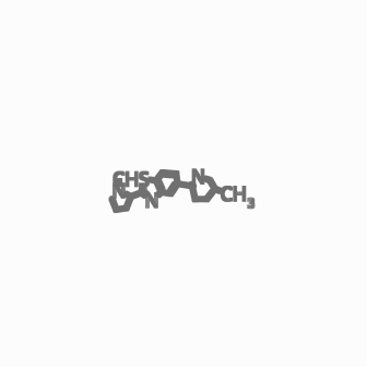 CC1CCC(c2ccc3sc(C4CCCN4C)nc3c2)=NC1